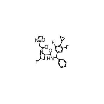 O=C(NC(c1ccccc1)c1cc(F)c(C2CC2)c(F)c1)C1CC(F)CN1C(=O)Cc1ncco1